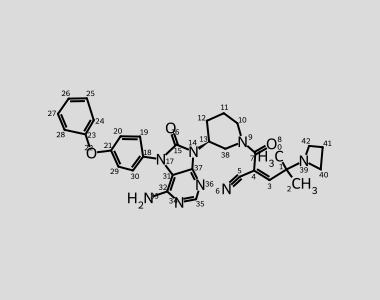 CC(C)(/C=C(/C#N)C(=O)N1CCC[C@H](n2c(=O)n(-c3ccc(Oc4ccccc4)cc3)c3c(N)ncnc32)C1)N1CCC1